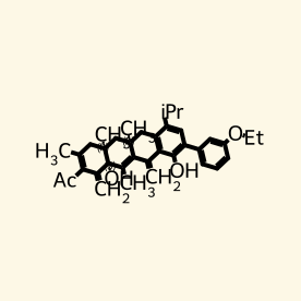 C=C1C2=C(C)[C@@]3(O)C(=C)C(C(C)=O)=C(C)C[C@@]3(C)C[C@@]2(C)Cc2c(C(C)C)cc(-c3cccc(OCC)c3)c(O)c21